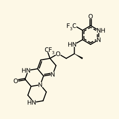 C[C@@H](COC1(C(F)(F)F)C=C2NC(=O)C3CNCCN3C2=NC1)Nc1cn[nH]c(=O)c1C(F)(F)F